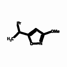 COc1cc(C(C)C(C)C)on1